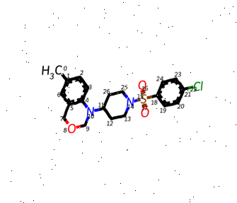 Cc1ccc2c(c1)COCN2C1CCN(S(=O)(=O)c2ccc(Cl)cc2)CC1